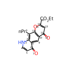 CCCc1c2[nH]ccc(=O)c2cc2c(=O)cc(C(=O)OCC)oc12